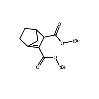 CC(C)(C)OC(=O)C1=C2CCC(C2)C1C(=O)OC(C)(C)C